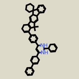 CC1(C)C2=CC3c4ccccc4C4(CCCCC4)C3C=C2C2=C1C(c1ccc(C3C=C(C4C=CC(c5ccccc5)=CC4)NC(C4C=CC=CC4)N3)cc1)=CCC2